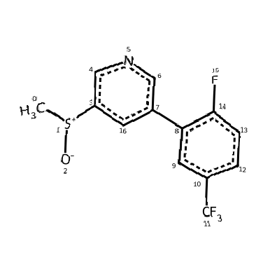 C[S+]([O-])c1cncc(-c2cc(C(F)(F)F)ccc2F)c1